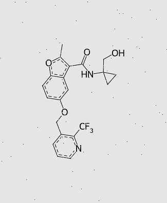 Cc1oc2ccc(OCc3cccnc3C(F)(F)F)cc2c1C(=O)NC1(CO)CC1